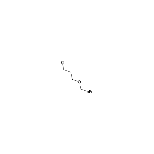 CCCCOCCCCl